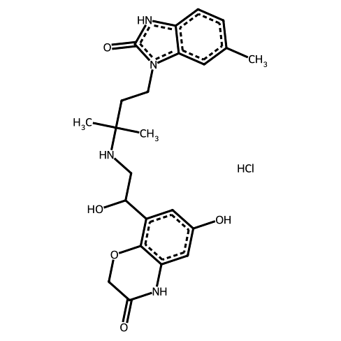 Cc1ccc2[nH]c(=O)n(CCC(C)(C)NCC(O)c3cc(O)cc4c3OCC(=O)N4)c2c1.Cl